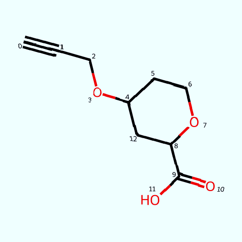 C#CCOC1CCOC(C(=O)O)C1